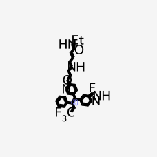 CCNC(=O)C=CCNCCOc1ccc(/C(=C(/CC(F)(F)F)c2ccccc2)c2ccc3n[nH]c(F)c3c2)cn1